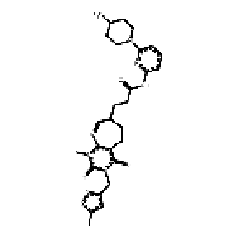 Cc1cc(Cn2c(=O)c3c(n(C)c2=O)N=CC(CCC(=O)Nc2cccc(N4CCC(C(F)(F)F)CC4)n2)CC3)no1